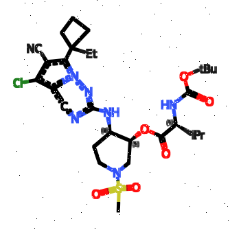 CCC1(c2c(C#N)c(Cl)c3cnc(N[C@@H]4CCN(S(C)(=O)=O)C[C@@H]4OC(=O)[C@@H](NC(=O)OC(C)(C)C)C(C)C)nn23)CCC1